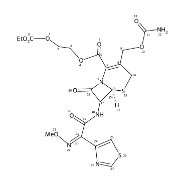 CCOC(=O)OCCOC(=O)C1=C(COC(N)=O)CS[C@H]2C(NC(=O)/C(=N\OC)c3cscn3)C(=O)N12